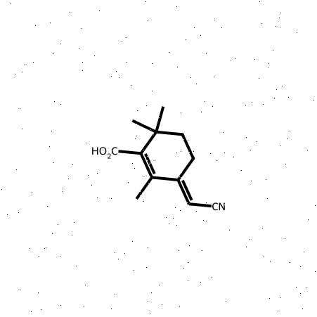 CC1=C(C(=O)O)C(C)(C)CC/C1=C\C#N